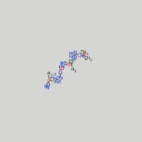 C=CC(=O)N1CCC(c2ncc3ncnc(Nc4ccc(Oc5ccn6nc(/C=C\C(=O)N7CC=C(c8ncc9ncnc(Nc%10cc(C)c(Oc%11ccn%12ncnc%12c%11)cc%10F)c9n8)CC7)nc6c5)c(C)c4F)c3n2)C[C@@H]1C